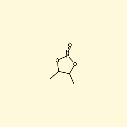 CC1O[PH](=O)OC1C